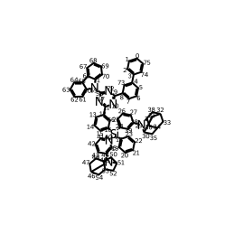 c1ccc(-c2cccc(-c3nc(-c4cccc([Si](c5ccccc5)(c5cccc(N6C7CC8CC(C7)CC6C8)c5)[n+]5cccc(N6C7CCC8CC6CC8C7)c5)c4)nc(-n4c5ccccc5c5ccccc54)n3)c2)cc1